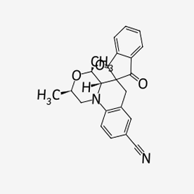 C[C@@H]1CN2c3ccc(C#N)cc3CC3(C(=O)c4ccccc4C3=O)[C@H]2[C@H](C)O1